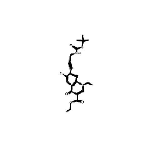 CCOC(=O)c1cn(CC)c2cc(C#CCNC(=O)OC(C)(C)C)c(F)cc2c1=O